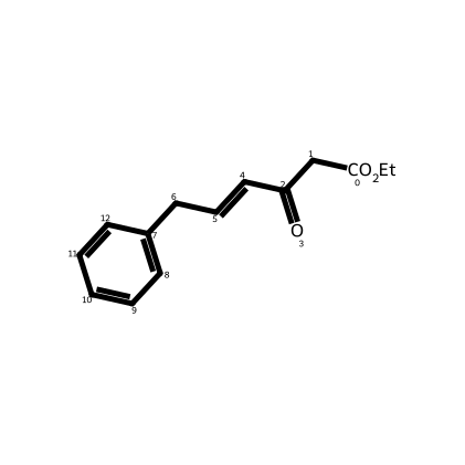 CCOC(=O)CC(=O)/C=C/Cc1ccccc1